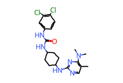 Cc1cnc(NC2CCC(NC(=O)Nc3ccc(Cl)c(Cl)c3)CC2)nc1N(C)C